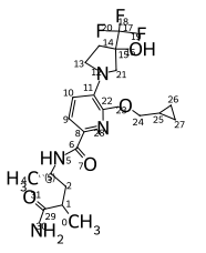 CC(C[C@H](C)NC(=O)c1ccc(N2CCC(O)(C(F)(F)F)C2)c(OCC2CC2)n1)C(N)=O